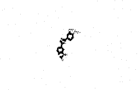 COc1ccc(-c2nc(-c3ccc4oc(=O)[nH]c4c3)cs2)cc1OC